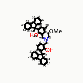 COCCN(Cc1cccc(C2(C)c3ccccc3-c3ccccc32)c1O)Cc1cc(C)cc(C2(C)c3ccccc3-c3ccccc32)c1O